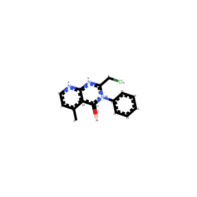 Cc1ccnc2nc(CCl)n(-c3ccccc3)c(=O)c12